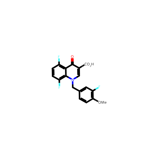 COc1ccc(Cn2cc(C(=O)O)c(=O)c3c(F)ccc(F)c32)cc1F